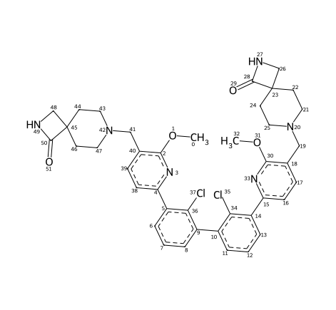 COc1nc(-c2cccc(-c3cccc(-c4ccc(CN5CCC6(CC5)CNC6=O)c(OC)n4)c3Cl)c2Cl)ccc1CN1CCC2(CC1)CNC2=O